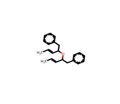 CC=CC(Cc1ccccc1)OC(C=CC)Cc1ccccc1